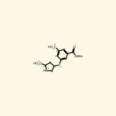 CNC(=O)c1cc(OC2CNC(C(=O)O)C2)cc(C(=O)O)c1